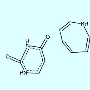 C1=CC=CNC=C1.O=c1cc[nH]c(=O)[nH]1